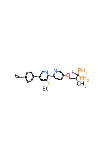 CCSc1cc(-c2ccc(C3CC3)cc2)cnc1-c1ccc(OCC(C)C(P)(P)I)cn1